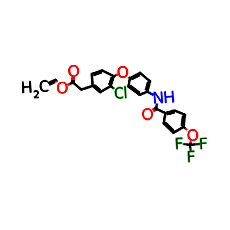 C=COC(=O)Cc1ccc(Oc2ccc(NC(=O)c3ccc(OC(F)(F)F)cc3)cc2)c(Cl)c1